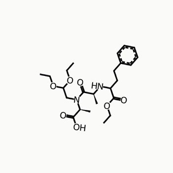 CCOC(=O)C(CCc1ccccc1)N[C@@H](C)C(=O)N(CC(OCC)OCC)[C@@H](C)C(=O)O